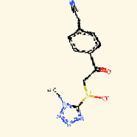 Cn1nnnc1[S+]([O-])CC(=O)c1ccc(C#N)cc1